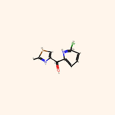 Cc1nc(C(=O)c2cccc(Br)n2)cs1